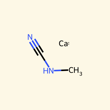 CNC#N.[Ca]